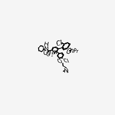 CCCOc1ccc(Cl)c(-c2ccc(C(=O)NC3(C(=O)O)CCCCC3)nc2-c2ccc(Cl)c(OCCCN(C)C)c2)c1